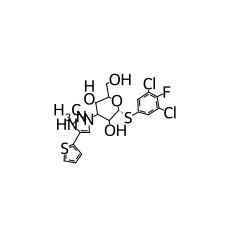 CN1NC(c2cccs2)=CN1C1C(O)[C@@H](Sc2cc(Cl)c(F)c(Cl)c2)OC(CO)[C@@H]1O